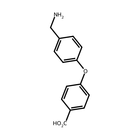 NCc1ccc(Oc2ccc(C(=O)O)cc2)cc1